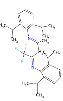 C/C(C/C(=N\c1c(C(C)C)cccc1C(C)C)C(F)(F)F)=N\c1c(C(C)C)cccc1C(C)C